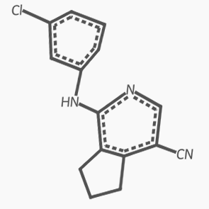 N#Cc1cnc(Nc2cccc(Cl)c2)c2c1CCC2